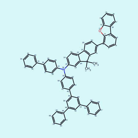 CC1(C)c2cc(-c3cccc4c3oc3ccccc34)ccc2-c2ccc(N(c3ccc(-c4ccccc4)cc3)c3ccc(-c4cc(-c5ccccc5)cc(-c5ccccc5)c4)cc3)cc21